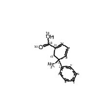 CC1(c2ccccc2)C=CC=C(C(=O)O)C1